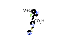 COc1ccc2nccc([C@H](F)CC[C@@H]3CCN(CCSc4ccncn4)C[C@@H]3C(=O)O)c2c1